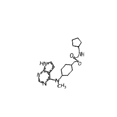 CN(c1ncnc2[nH]ccc12)C1CCC(S(=O)(=O)NC2CCCC2)CC1